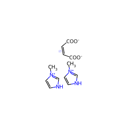 C[n+]1cc[nH]c1.C[n+]1cc[nH]c1.O=C([O-])/C=C\C(=O)[O-]